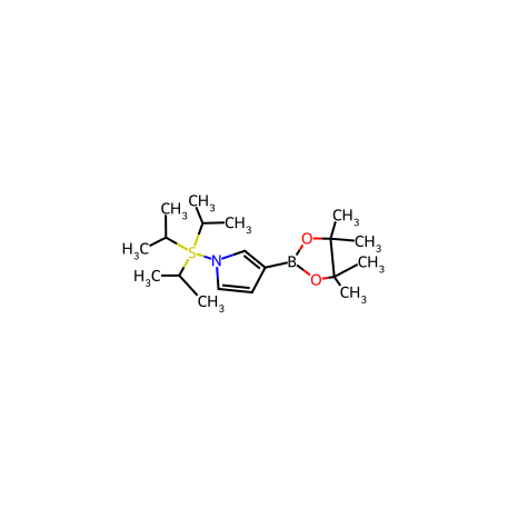 CC(C)S(C(C)C)(C(C)C)n1ccc(B2OC(C)(C)C(C)(C)O2)c1